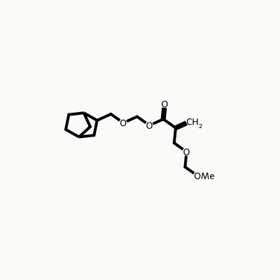 C=C(COCOC)C(=O)OCOCC1CC2CCC1C2